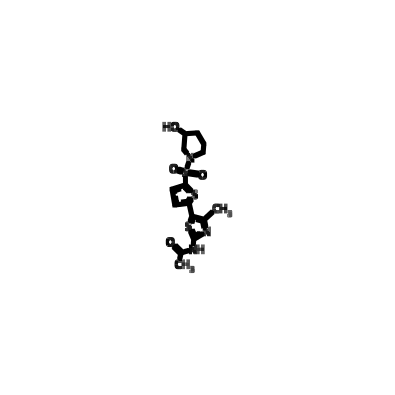 CC(=O)Nc1nc(C)c(-c2ccc(S(=O)(=O)N3CCCC(O)C3)s2)s1